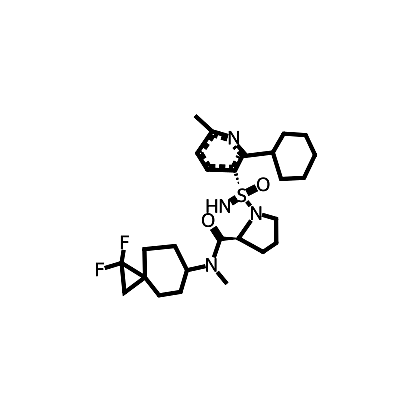 Cc1ccc([S@](=N)(=O)N2CCC[C@H]2C(=O)N(C)C2CCC3(CC2)CC3(F)F)c(C2CCCCC2)n1